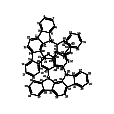 C1=CCC(n2c3ccccc3c3ccc4c5ccccc5n(-c5cc(-n6c7ccccc7c7ccc8c9ccccc9n(C9=CCCC=C9)c8c76)nc(-c6ccccc6)n5)c4c32)C=C1